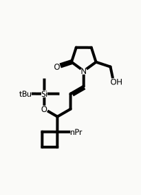 CCCC1(C(C/C=C/N2C(=O)CCC2CO)O[Si](C)(C)C(C)(C)C)CCC1